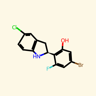 Oc1cc(Br)cc(F)c1[C@@H]1Cc2cc(Cl)ccc2N1